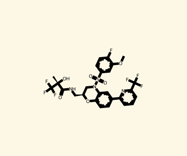 COc1cc(S(=O)(=O)N2C[C@H](CNC(=O)[C@@](C)(O)C(F)(F)F)Oc3ccc(-c4cccc(C(F)(F)F)n4)cc32)ccc1F